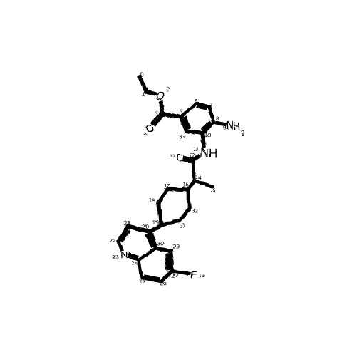 CCOC(=O)c1ccc(N)c(NC(=O)C(C)C2CCC(c3ccnc4ccc(F)cc34)CC2)c1